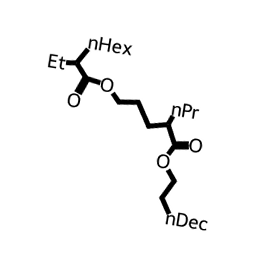 CCCCCCCCCCCCOC(=O)C(CCC)CCCOC(=O)C(CC)CCCCCC